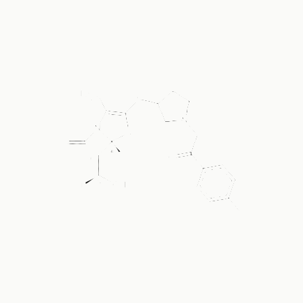 CC[C@H](O)[C@@H]1C(=O)N2C(C(=O)O)=C(SC3CCN(CC(=O)c4ccc(C)cc4)C3)S[C@H]12